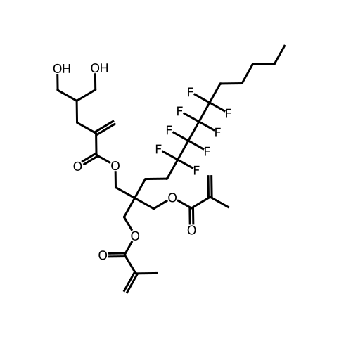 C=C(C)C(=O)OCC(CCC(F)(F)C(F)(F)C(F)(F)C(F)(F)CCCCC)(COC(=O)C(=C)C)COC(=O)C(=C)CC(CO)CO